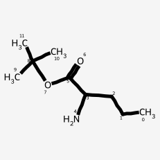 CCCC(N)C(=O)OC(C)(C)C